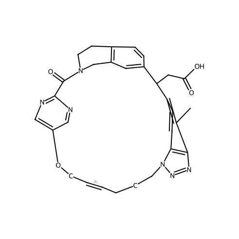 Cc1c2ccc3c1nnn3CCC/C=C/COc1cnc(nc1)C(=O)N1CCc3ccc(cc3C1)C2CC(=O)O